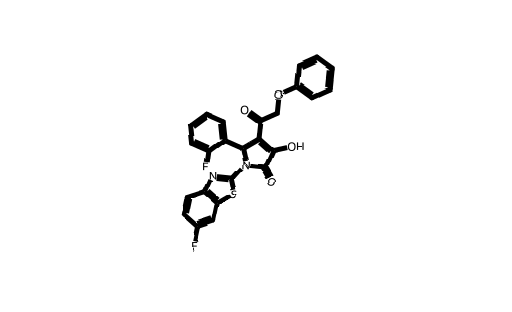 O=C(COc1ccccc1)C1=C(O)C(=O)N(c2nc3ccc(F)cc3s2)C1c1ccccc1F